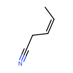 C/C=C\CC#N